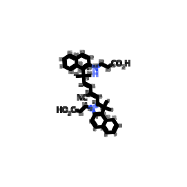 CC1(C)C2=C(C=CC3=CC=CCC32)[N+](CCC(=O)O)=C1/C=C(C#N)/C=C/C(C)(C)c1c(NCCC(=O)O)ccc2ccccc12